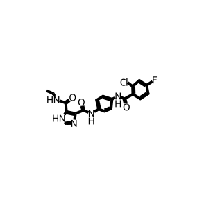 CCNC(=O)c1[nH]cnc1C(=O)Nc1ccc(NC(=O)c2ccc(F)cc2Cl)cc1